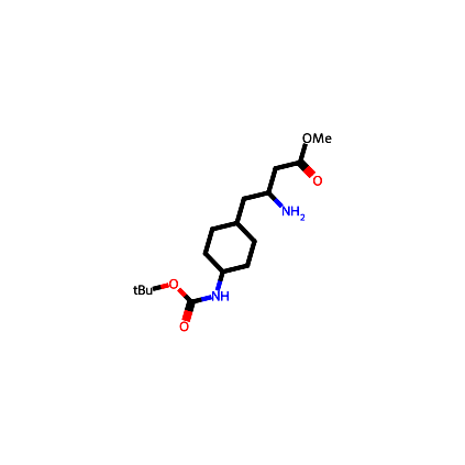 COC(=O)CC(N)CC1CCC(NC(=O)OC(C)(C)C)CC1